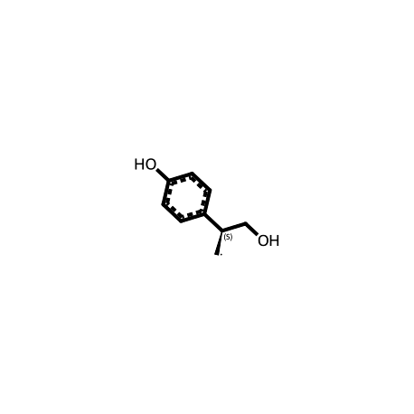 [CH2][C@H](CO)c1ccc(O)cc1